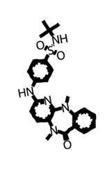 CN1C(=O)c2ccccc2N(C)c2nc(Nc3ccc(S(=O)(=O)NC(C)(C)C)cc3)ccc21